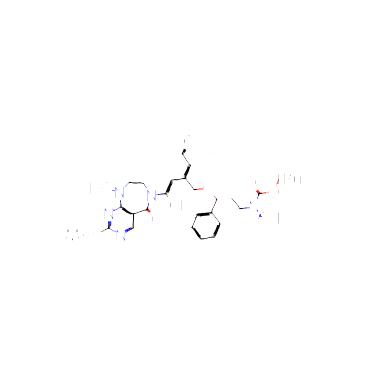 C=C/C=C(\C=C(/C)N1CCN(C)c2nc(SC)ncc2C1=O)CO[C@H](CCN(C)C(=O)OC(C)(C)C)c1ccccc1